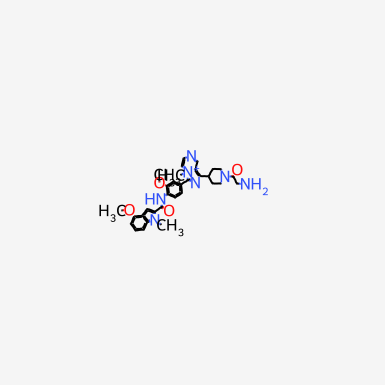 COc1cc(C2=NC(C3CCN(C(=O)CN)CC3)=C3C=NC=C[N+]23C)ccc1NC(=O)c1cc2c(OC)cccc2n1C